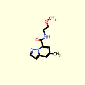 COCCNC(=O)c1cc(C)cc2ccnn12